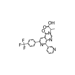 CC(C(=O)O)n1cnc2c(-c3cccnc3)nc(-c3ccc(C(F)(F)F)cc3)cc2c1=O